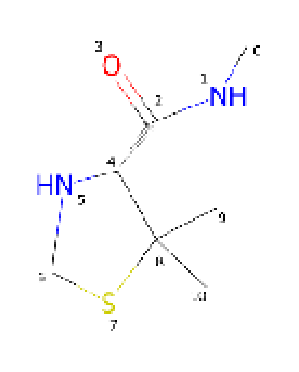 CNC(=O)[C@H]1NCSC1(C)C